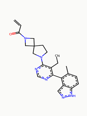 C=CC(=O)N1CC2(CCN(c3ncnc(-c4c(C)ccc5[nH]ncc45)c3CC#N)C2)C1